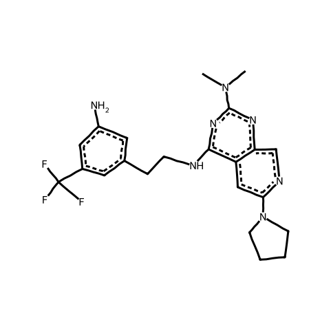 CN(C)c1nc(NCCc2cc(N)cc(C(F)(F)F)c2)c2cc(N3CCCC3)ncc2n1